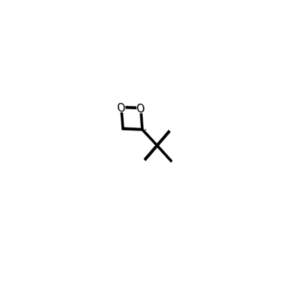 CC(C)(C)[C]1COO1